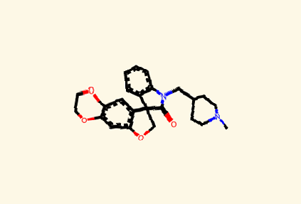 CN1CCC(CN2C(=O)C3(COc4cc5c(cc43)OCCO5)c3ccccc32)CC1